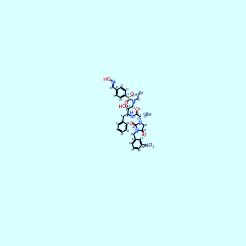 CC[C@H](C)[C@@H](C(=O)N[C@@H](Cc1ccccc1)[C@@H](O)CN(CC(C)C)S(=O)(=O)c1ccc(C=NO)cc1)N1CC(=O)N(Cc2cccc([N+](=O)[O-])c2)C1=O